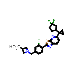 O=C(O)C1CN(Cc2ccc(-c3nc4ccc(C5(C6CCC(F)(F)C6)C=C5)nc4s3)c(F)c2)C1